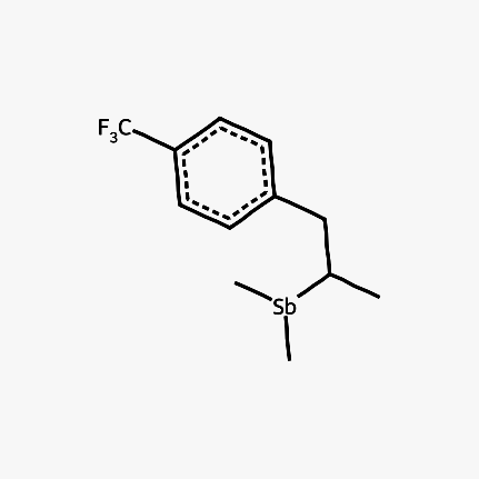 C[CH](Cc1ccc(C(F)(F)F)cc1)[Sb]([CH3])[CH3]